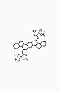 CC(C)(C)C(=O)OC1Cc2cc3c(cc2-c2ccc4ccccc4c21)CC(OC(=O)C(C)(C)C)c1c-3ccc2ccccc12